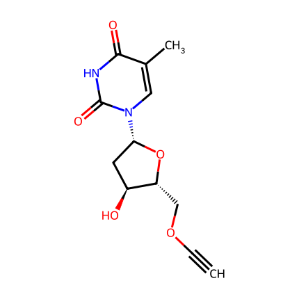 C#COC[C@H]1O[C@@H](n2cc(C)c(=O)[nH]c2=O)C[C@@H]1O